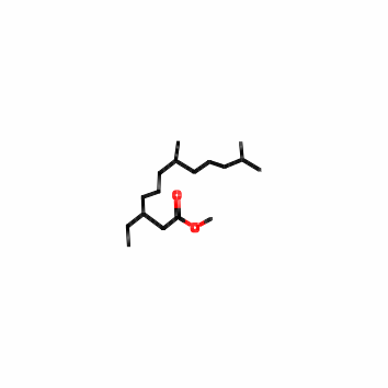 CCC(CCCC(C)CCCC(C)C)CC(=O)OC